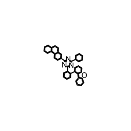 c1ccc(-c2nc(-c3ccc4c(ccc5ccccc54)c3)nc(-c3ccccc3-c3cccc4oc5ccccc5c34)n2)cc1